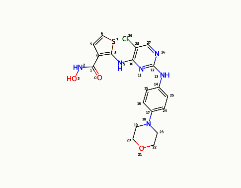 O=C(NO)c1ccsc1Nc1nc(Nc2ccc(N3CCOCC3)cc2)ncc1Cl